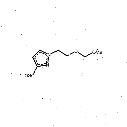 COCOCCn1ccc(C=O)n1